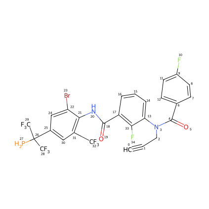 C#CCN(C(=O)c1ccc(F)cc1)c1cccc(C(=O)Nc2c(Br)cc(C(P)(C(F)(F)F)C(F)(F)F)cc2C(F)(F)F)c1F